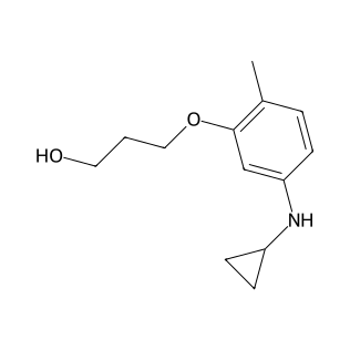 Cc1ccc(NC2CC2)cc1OCCCO